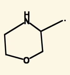 [CH2]C1COCCN1